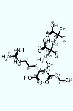 CCOC(=O)N(OC)[C@@H](CCCNC(=N)N)C(=O)O.O=C(O)C(F)(F)F.O=C(O)C(F)(F)F